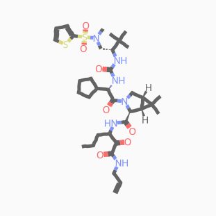 C=CCNC(=O)C(=O)C(CCC)NC(=O)[C@@H]1[C@@H]2[C@H](CN1C(=O)[C@@H](NC(=O)N[C@H](CN(C)S(=O)(=O)c1cccs1)C(C)(C)C)C1CCCC1)C2(C)C